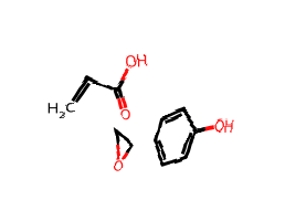 C1CO1.C=CC(=O)O.Oc1ccccc1